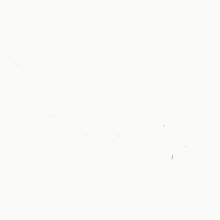 CCC(=O)N1c2ccccc2[C@H](Nc2ccc(NC(=O)C3CN(C(=O)C4CCN(Cc5cc(O)cc(-c6c(C)noc6C)c5)CC4)C3)cc2)C[C@@H]1C